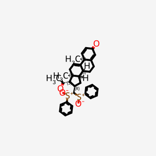 CC(=O)[C@H]1[C@H](C([S+]([O-])c2ccccc2)[S+]([O-])c2ccccc2)C[C@H]2[C@@H]3CCC4=CC(=O)C=C[C@]4(C)C3=CC[C@@]21C